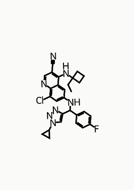 CCC1(Nc2c(C#N)cnc3c(Cl)cc(NC(c4ccc(F)cc4)c4cn(C5CC5)nn4)cc23)CCC1